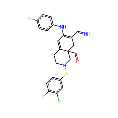 N=CC1=C(Nc2ccc(F)cc2)C=C2CCN(Sc3ccc(F)c(Cl)c3)CC2(C=O)C1